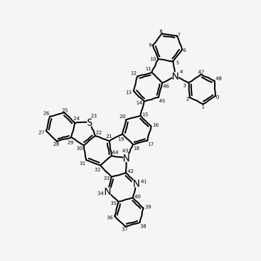 c1ccc(-n2c3ccccc3c3ccc(-c4ccc5c(c4)c4c6sc7ccccc7c6cc6c7nc8ccccc8nc7n5c64)cc32)cc1